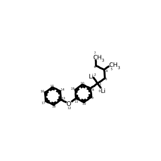 [Li][C]([Li])(CC(C)CC)c1ccc(Oc2ccccc2)cc1